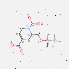 CC(C)(C)[Si](C)(C)OC[C@H]1CC(C(=O)O)=CCN1C(=O)O